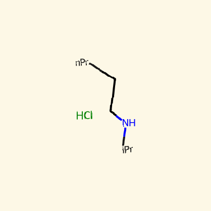 CCCCCNC(C)C.Cl